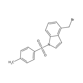 Cc1ccc(S(=O)(=O)n2ccc3c(CBr)cccc32)cc1